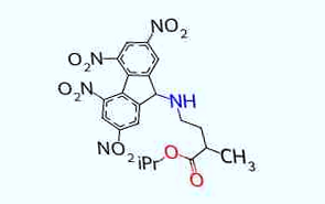 CC(C)OC(=O)C(C)CCNC1c2cc([N+](=O)[O-])cc([N+](=O)[O-])c2-c2c1cc([N+](=O)[O-])cc2[N+](=O)[O-]